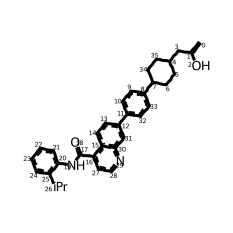 C=C(O)CC1CCC(c2ccc(-c3ccc4c(C(=O)Nc5ccccc5C(C)C)ccnc4c3)cc2)CC1